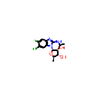 CC(C)Nc1nc2cc(F)c(Cl)cc2n1[C@@H]1O[C@H](C)[C@@H](O)[C@H]1O